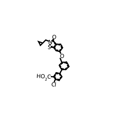 O=C(O)c1cc(-c2cccc(COc3ccc4c(=O)n(CC5CC5)sc4c3)c2)ccc1Cl